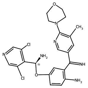 Cc1cc(C(=N)c2cc(O[C@H](N)c3c(Cl)cncc3Cl)ccc2N)cnc1N1CCOCC1